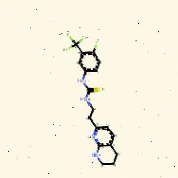 Fc1ccc(NC(=S)NCCc2ccc3c(n2)NCCC3)cc1C(F)(F)F